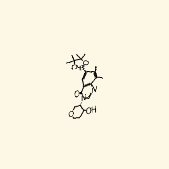 Cc1c(B2OC(C)(C)C(C)(C)O2)cc2c(=O)n([C@H]3COCC[C@@H]3O)cnc2c1C